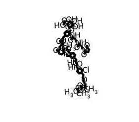 CN(CN1C(=O)CCC(N2Cc3cc(CNC(=O)Nc4ccc(CCOCCN(C)C(=O)OC(C)(C)C)c(Cl)c4)ccc3C2=O)C1=O)C(=O)OCc1ccc(O[C@@H]2O[C@H](C(=O)O)[C@@H](O)[C@H](O)[C@H]2O)c(NC(=O)CCNC(=O)CCN2C(=O)C=CC2=O)c1